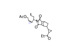 C=CCC(/C=C\COC(C)=O)N1C(=O)C2C3CC(C4CC4C(=O)CC)C(C3)C2C1=O